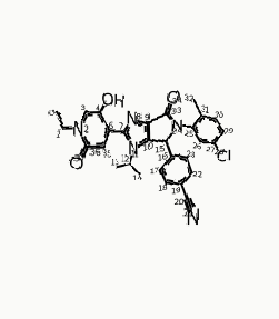 CCn1cc(O)c(-c2nc3c(n2C(C)C)C(c2ccc(C#N)cc2)N(c2cc(Cl)ccc2C)C3=O)cc1=O